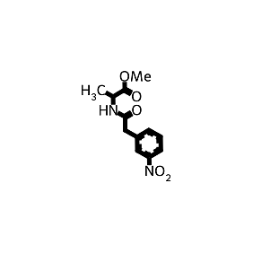 COC(=O)C(C)NC(=O)Cc1cccc([N+](=O)[O-])c1